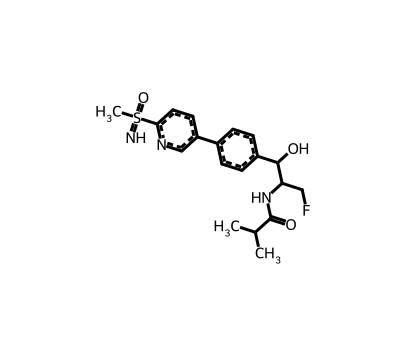 CC(C)C(=O)NC(CF)C(O)c1ccc(-c2ccc(S(C)(=N)=O)nc2)cc1